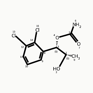 C[C@H](O)[C@@H](OC(N)=O)c1cccc(Cl)c1Cl